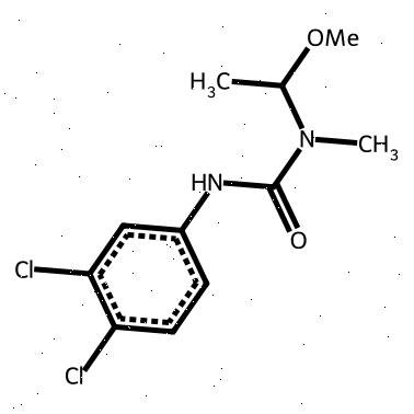 COC(C)N(C)C(=O)Nc1ccc(Cl)c(Cl)c1